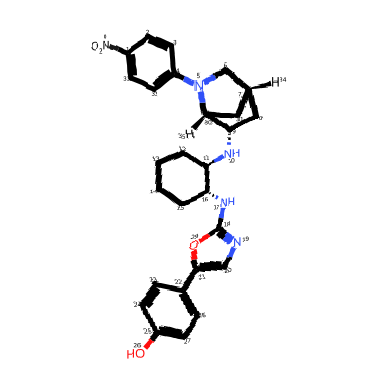 O=[N+]([O-])c1ccc(N2C[C@@H]3C[C@H](N[C@@H]4CCCC[C@H]4Nc4ncc(-c5ccc(O)cc5)o4)[C@H]2C3)cc1